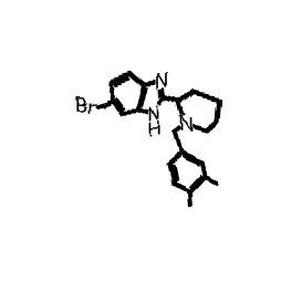 Cc1ccc(CN2CCCCC2c2nc3ccc(Br)cc3[nH]2)cc1C